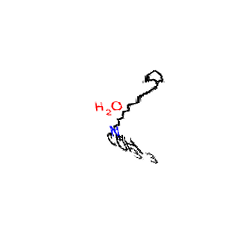 CCN(CC)CCCCCCCCCCC1CCCCC1.O